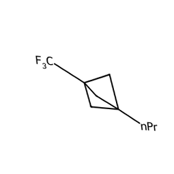 CCCC12CC(C(F)(F)F)(C1)C2